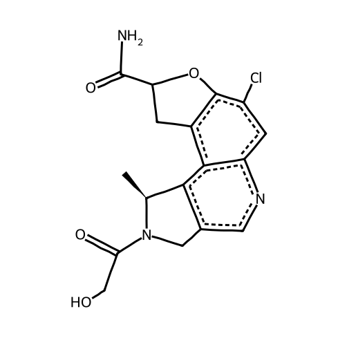 C[C@H]1c2c(cnc3cc(Cl)c4c(c23)CC(C(N)=O)O4)CN1C(=O)CO